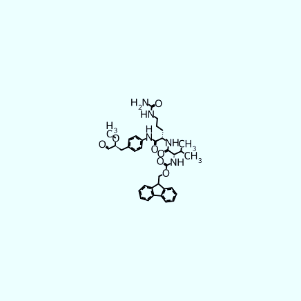 CO[C@H](C=O)Cc1ccc(NC(=O)[C@H](CCCNC(N)=O)NC(=O)[C@@H](NC(=O)OCC2c3ccccc3-c3ccccc32)C(C)C)cc1